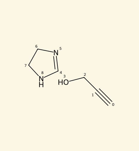 C#CCO.C1=NCCN1